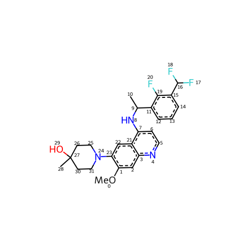 COc1cc2nccc(NC(C)c3cccc(C(F)F)c3F)c2cc1N1CCC(C)(O)CC1